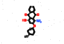 CCCc1ccc(Oc2cc(O)c3c(c2N)C(=O)c2ccccc2C3=O)cc1